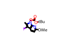 COc1ccc2c(I)c(C)n(OC(=O)OC(C)(C)C)c2n1